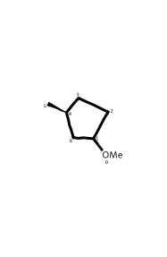 COC1CC[C@H](C)C1